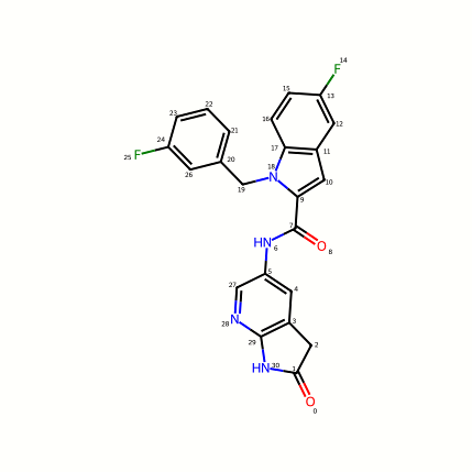 O=C1Cc2cc(NC(=O)c3cc4cc(F)ccc4n3Cc3cccc(F)c3)cnc2N1